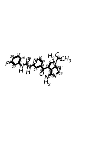 CC(C)n1cc(C(=O)c2ccnc(NC(=O)Nc3cccc(F)c3)c2)c2c(N)ncnc21